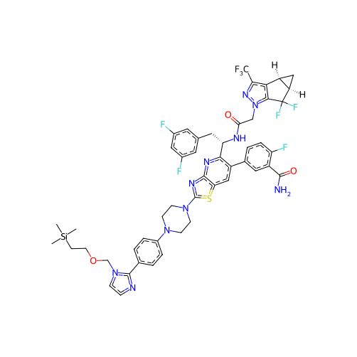 C[Si](C)(C)CCOCn1ccnc1-c1ccc(N2CCN(c3nc4nc([C@H](Cc5cc(F)cc(F)c5)NC(=O)Cn5nc(C(F)(F)F)c6c5C(F)(F)[C@@H]5C[C@H]65)c(-c5ccc(F)c(C(N)=O)c5)cc4s3)CC2)cc1